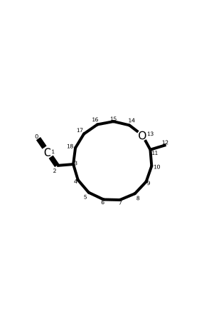 C=C=CC1CCCCCCCC(C)OCCCCC1